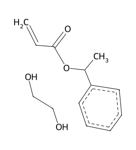 C=CC(=O)OC(C)c1ccccc1.OCCO